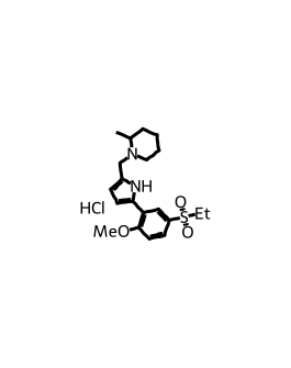 CCS(=O)(=O)c1ccc(OC)c(-c2ccc(CN3CCCCC3C)[nH]2)c1.Cl